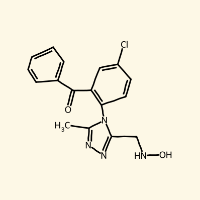 Cc1nnc(CNO)n1-c1ccc(Cl)cc1C(=O)c1ccccc1